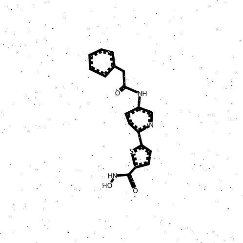 O=C(Cc1ccccc1)Nc1ccc(-c2ccc(C(=O)NO)s2)nc1